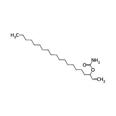 C=CC(CCCCCCCCCCCCCCCCC)OC(N)=O